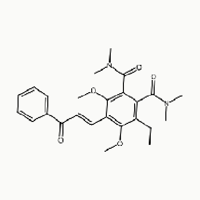 CCc1c(OC)c(C=CC(=O)c2ccccc2)c(OC)c(C(=O)N(C)C)c1C(=O)N(C)C